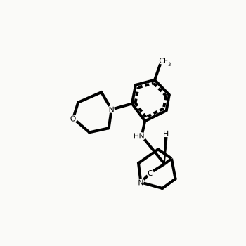 FC(F)(F)c1ccc(N[C@H]2CN3CCC2CC3)c(N2CCOCC2)c1